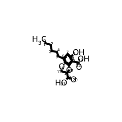 CCCCCCc1cc(O)c(C(=O)O)c2c1OCC(C(=O)O)O2